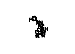 CN(C)C(=O)c1cnn(C)c1C(=O)Nc1ccn2cc(-c3cccc(F)c3)nc2n1